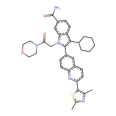 Cc1nc(C)c(-c2ccc3cc(-c4c(C5CCCCC5)c5ccc(C(N)=O)cc5n4CC(=O)N4CCOCC4)ccc3n2)s1